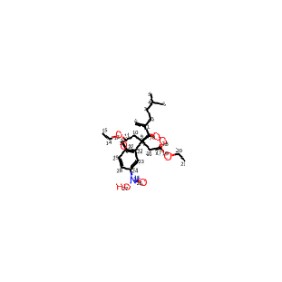 C=C(CCC(C)C)C(=O)C(CC(=O)OCC)(CC(=O)OCC)c1cc([N+](=O)O)ccc1C